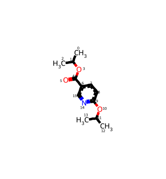 CC(C)OC(=O)c1ccc(OC(C)C)nc1